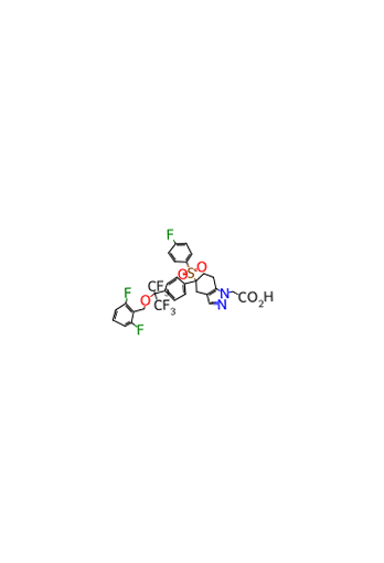 O=C(O)Cn1ncc2c1CCC(c1ccc(C(OCc3c(F)cccc3F)(C(F)(F)F)C(F)(F)F)cc1)(S(=O)(=O)c1ccc(F)cc1)C2